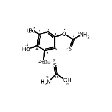 CC(C)(C)c1cc(OC(N)=S)cc(C(C)(C)C)c1O.NC(O)=S